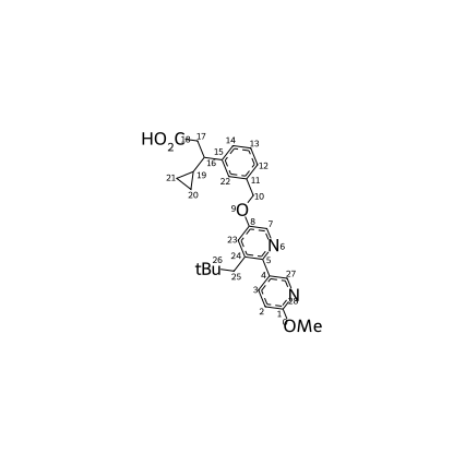 COc1ccc(-c2ncc(OCc3cccc(C(CC(=O)O)C4CC4)c3)cc2CC(C)(C)C)cn1